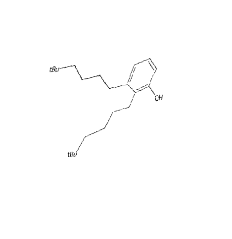 CC(C)(C)CCCCc1cccc(O)c1CCCCC(C)(C)C